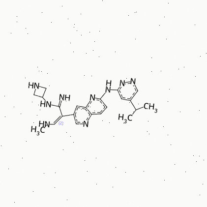 CN/C=C(\C(=N)NC1CNC1)c1cnc2ccc(Nc3cc(C(C)C)cnn3)nc2c1